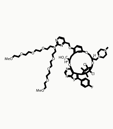 COCCOCCOCCOCCN(CCOCCOCCOCCOC)c1nccc(COc2ccc3cc2C[C@H](C(=O)O)Oc2ncnc4sc(-c5ccc(F)cc5)c(c24)-c2c(C)c(Cl)c(c(Cl)c2C)O[C@H](CN2CCN(C)CC2)CO3)n1